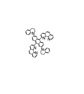 c1ccc2c(c1)CCCN2c1ccc2c(-c3ccc4ccc5cccnc5c4n3)c3cc(N4CCCc5ccccc54)ccc3c(-c3ccc4ccc5cccnc5c4n3)c2c1